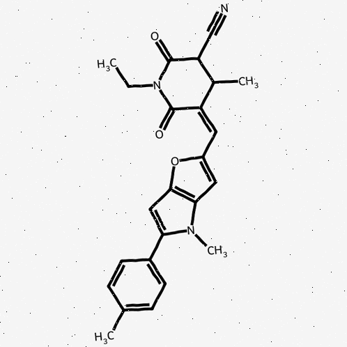 CCN1C(=O)/C(=C\c2cc3c(cc(-c4ccc(C)cc4)n3C)o2)C(C)C(C#N)C1=O